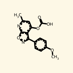 COc1ccc(-c2noc3nc(C)cc(OC(=O)O)c23)cc1